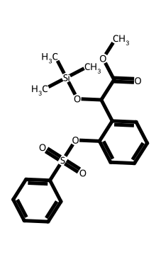 COC(=O)C(O[Si](C)(C)C)c1ccccc1OS(=O)(=O)c1ccccc1